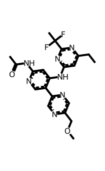 CCc1cc(Nc2cc(NC(C)=O)ncc2-c2cnc(COC)cn2)nc(C(C)(F)F)n1